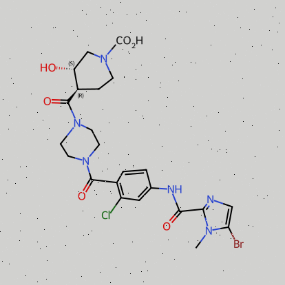 Cn1c(Br)cnc1C(=O)Nc1ccc(C(=O)N2CCN(C(=O)[C@@H]3CCN(C(=O)O)C[C@H]3O)CC2)c(Cl)c1